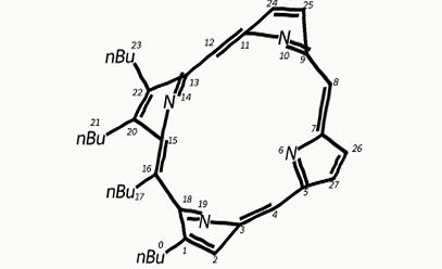 CCCCC1=CC2=CC3=NC(=CC4=NC(=CC5=NC(=C(CCCC)C1=N2)C(CCCC)=C5CCCC)C=C4)C=C3